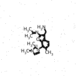 CC(C)=Nc1oc2c(N3C=CN(C)[C@@H]3C)c(C)ccc2c1CN